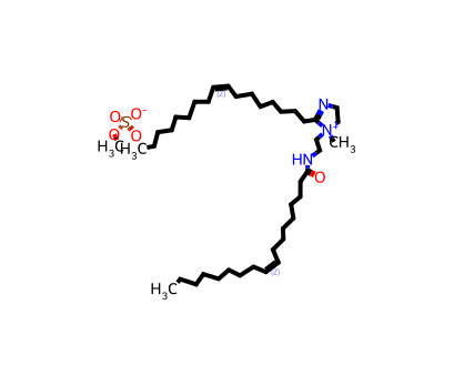 CCCCCCCC/C=C\CCCCCCCC(=O)NCC[N+]1(C)CCN=C1CCCCCCC/C=C\CCCCCCCC.COS(=O)(=O)[O-]